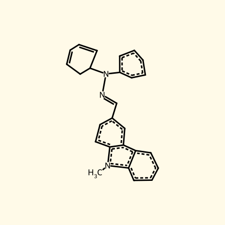 Cn1c2ccccc2c2cc(/C=N/N(c3ccccc3)C3C=CC=CC3)ccc21